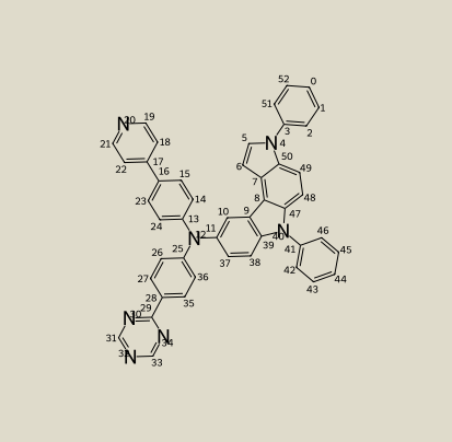 c1ccc(-n2ccc3c4c5cc(N(c6ccc(-c7ccncc7)cc6)c6ccc(-c7ncncn7)cc6)ccc5n(-c5ccccc5)c4ccc32)cc1